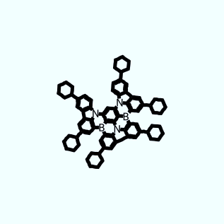 c1cc2c(cc1C1CCCCC1)c1cc(C3CCCCC3)cc3c1n2-c1cc2c4c5c1B3c1cc(C3CCCCC3)cc3c6cc(C7CCCCC7)cc(c6n-5c13)B4c1cc(C3CCCCC3)cc3c4cc(C5CCCCC5)ccc4n-2c13